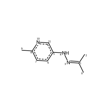 CC(C)=NNc1ccc(C)nc1